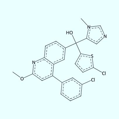 COc1cc(-c2cccc(Cl)c2)c2cc(C(O)(c3ccc(Cl)s3)c3cncn3C)ccc2n1